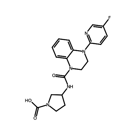 O=C(O)N1CCC(NC(=O)N2CCN(c3ccc(F)cn3)c3ccccc32)C1